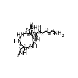 CNCC1(C)CNCNCC(CNC)(NC(=S)NCCCCN)CNCNC1